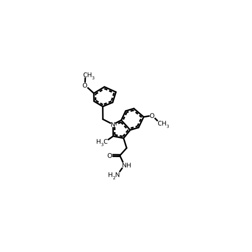 COc1cccc(Cn2c(C)c(CC(=O)NN)c3cc(OC)ccc32)c1